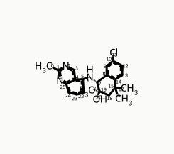 Cc1ncc2c(N[C@@H]3c4cc(Cl)ccc4C(C)(C)C[C@]3(O)C(F)(F)F)cccc2n1